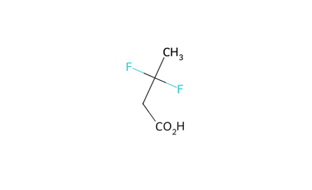 CC(F)(F)CC(=O)O